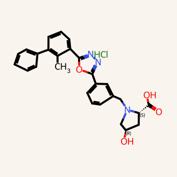 Cc1c(-c2ccccc2)cccc1-c1nnc(-c2cccc(CN3C[C@H](O)C[C@H]3C(=O)O)c2)o1.Cl